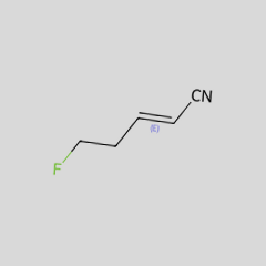 N#C/C=C/CCF